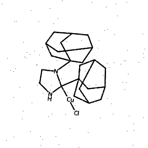 [Cl][Cu][C]1(C23CC4CC(CC(C4)C2)C3)NCCN1C12CC3CC(CC(C3)C1)C2